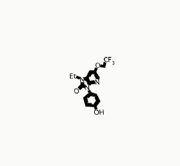 CCn1c(=O)n(-c2ccc(O)cc2)c2ncc(OCC(F)(F)F)cc21